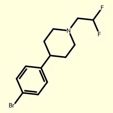 FC(F)CN1CCC(c2ccc(Br)cc2)CC1